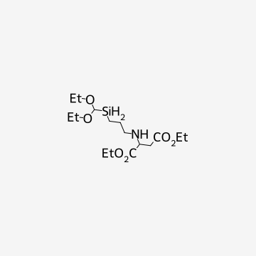 CCOC(=O)CC(NCCC[SiH2]C(OCC)OCC)C(=O)OCC